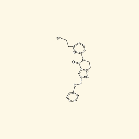 CC(C)CCc1cccc(N2CCn3nc(COc4ccccc4)cc3C2=O)n1